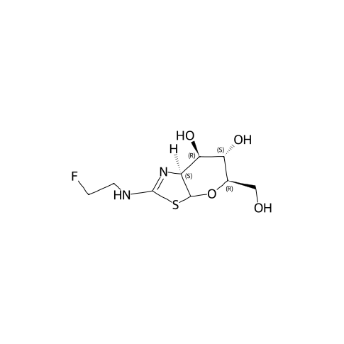 OC[C@H]1OC2SC(NCCF)=N[C@H]2[C@@H](O)[C@@H]1O